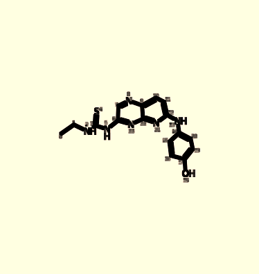 CCNC(=S)Nc1cnc2ccc(Nc3ccc(O)cc3)nc2n1